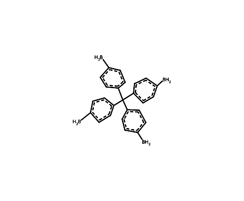 Bc1ccc(C(c2ccc(B)cc2)(c2ccc(B)cc2)c2ccc(B)cc2)cc1